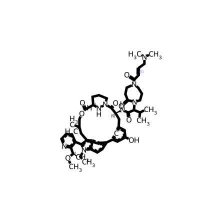 CCn1c(-c2cccnc2[C@H](C)OC)c2c3cc(ccc31)-c1cc(O)cc(c1)C[C@H](NC(=O)C(C(C)C)N1CCCN(C(=O)/C=C/CN(C)C)CCC1=O)C(=O)N1CCC[C@H](N1)C(=O)OCC(C)(C)C2